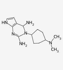 CN(C)C1CCC(N2C(N)=Nc3[nH]ccc3C2N)CC1